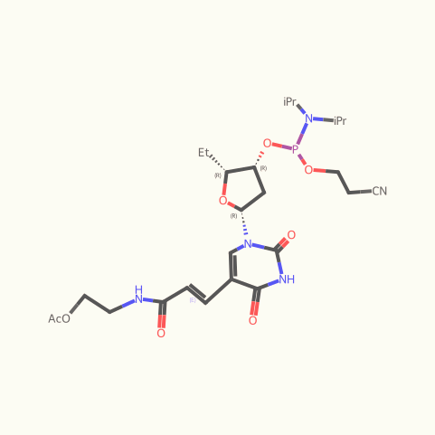 CC[C@H]1O[C@@H](n2cc(/C=C/C(=O)NCCOC(C)=O)c(=O)[nH]c2=O)C[C@H]1OP(OCCC#N)N(C(C)C)C(C)C